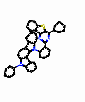 c1ccc(-c2nc(-c3ccccc3-n3c4ccccc4c4ccc5c(c6ccccc6n5-c5ccccc5)c43)nc3c2sc2ccccc23)cc1